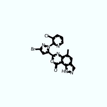 Cc1cc2cn[nH]c2c2c(=O)oc(-c3cc(Br)nn3-c3ncccc3Cl)nc12